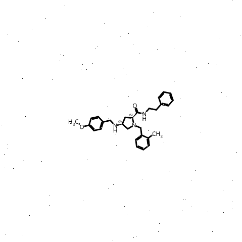 COc1ccc(CN[C@H]2C[C@@H](C(=O)NCCc3ccccc3)N(Cc3ccccc3C)C2)cc1